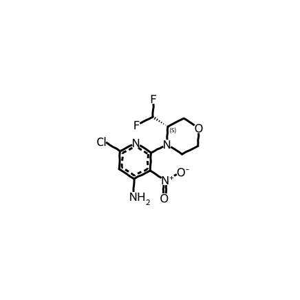 Nc1cc(Cl)nc(N2CCOC[C@H]2C(F)F)c1[N+](=O)[O-]